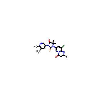 CCc1cc(=O)n2cc(N3C(=S)N(c4cnc(C#N)c(C(F)(F)F)c4)C(=O)C3(C)C)cc(F)c2n1